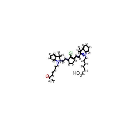 CC(C)C(=O)CCCCCN1/C(=C/C=C2\CCCC(/C=C/C3=[N+](CCCCCC(=O)O)c4ccccc4C3(C)C)=C2Cl)C(C)(C)c2ccccc21